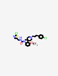 O=C(NCc1cnc(Cl)s1)N1CC2(CCN(CC=Cc3ccc(Cl)cc3)CC2)c2c(OC(F)(F)F)cccc21